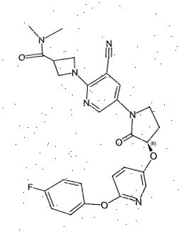 CN(C)C(=O)C1CN(c2ncc(N3CC[C@@H](Oc4ccc(Oc5ccc(F)cc5)nc4)C3=O)cc2C#N)C1